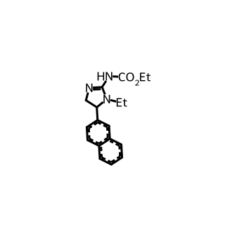 CCOC(=O)NC1=NCC(c2ccc3ccccc3c2)N1CC